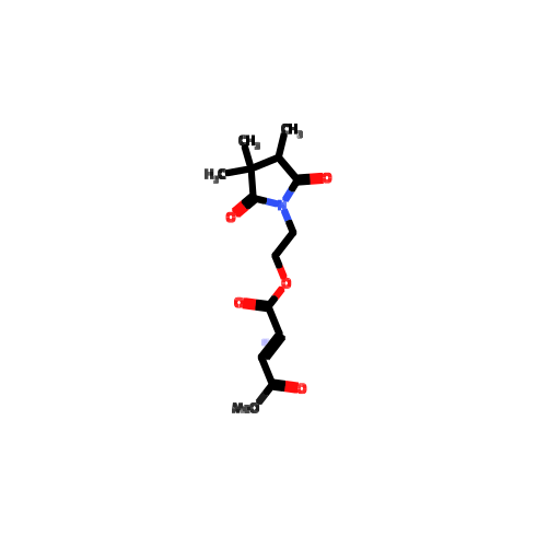 COC(=O)/C=C/C(=O)OCCN1C(=O)C(C)C(C)(C)C1=O